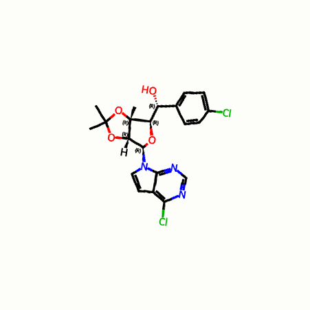 CC1(C)O[C@H]2[C@H](n3ccc4c(Cl)ncnc43)O[C@H]([C@H](O)c3ccc(Cl)cc3)[C@@]2(C)O1